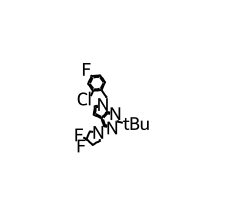 CC(C)(C)c1nc(N2CCC(F)(F)C2)c2ccn(Cc3ccc(F)cc3Cl)c2n1